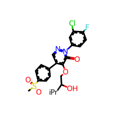 CC(C)C(O)COc1c(-c2ccc(S(C)(=O)=O)cc2)cnn(-c2ccc(F)c(Cl)c2)c1=O